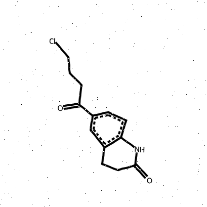 O=C1CCc2cc(C(=O)CCCCl)ccc2N1